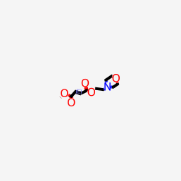 COC(=O)/C=C/C(=O)OCCN1CCOCC1